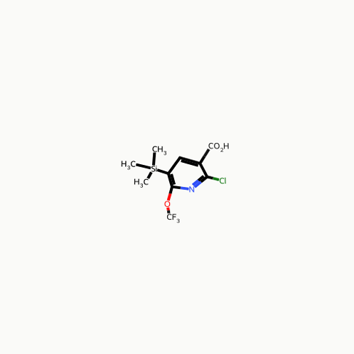 C[Si](C)(C)c1cc(C(=O)O)c(Cl)nc1OC(F)(F)F